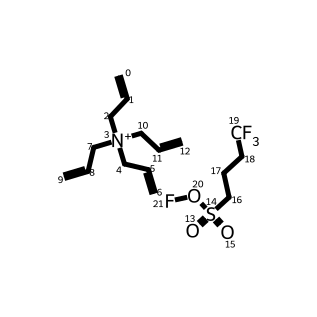 C=CC[N+](CC=C)(CC=C)CC=C.O=S(=O)(CCCC(F)(F)F)OF